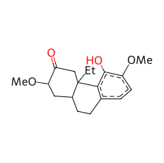 CCC12CC(=O)C(OC)CC1CCc1ccc(OC)c(O)c12